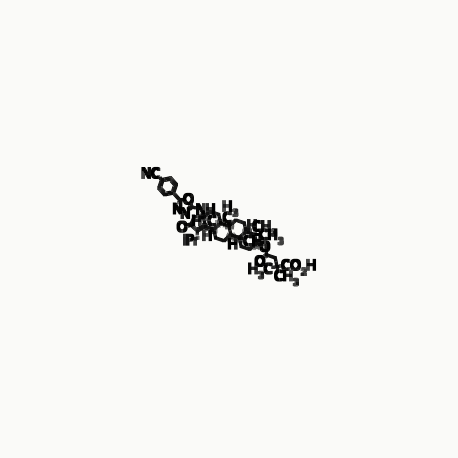 CC(C)C1=C2[C@H]3CC[C@@H]4[C@@]5(C)CC[C@H](OC(=O)CC(C)(C)C(=O)O)C(C)(C)[C@@H]5CC[C@@]4(C)[C@]3(C)CC[C@@]2(Nc2nnc(-c3ccc(C#N)cc3)o2)CC1=O